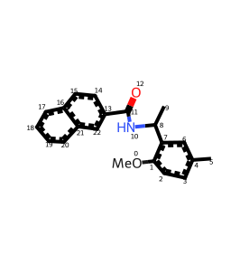 COc1ccc(C)cc1C(C)NC(=O)c1ccc2ccccc2c1